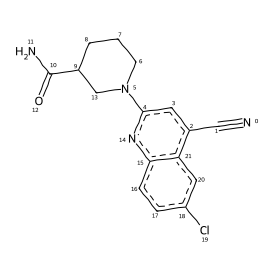 N#Cc1cc(N2CCCC(C(N)=O)C2)nc2ccc(Cl)cc12